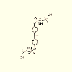 CC(C)(CO)COP(=O)(O)Oc1ccc(C(C)(C)c2ccc(OP(=O)(O)OCC(C)(C)CO)cc2)cc1